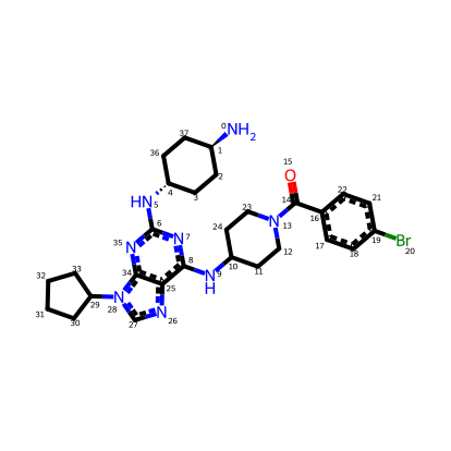 N[C@H]1CC[C@H](Nc2nc(NC3CCN(C(=O)c4ccc(Br)cc4)CC3)c3ncn(C4CCCC4)c3n2)CC1